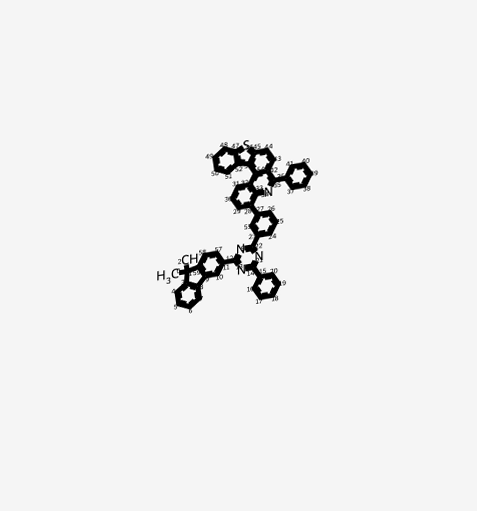 CC1(C)c2ccccc2-c2cc(-c3nc(-c4ccccc4)nc(-c4cccc(-c5cccc6c5nc(-c5ccccc5)c5ccc7sc8ccccc8c7c56)c4)n3)ccc21